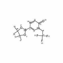 CC1(C)OB(c2cn(CC(F)(F)F)c(=O)cn2)OC1(C)C